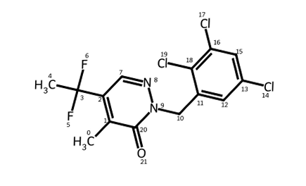 Cc1c(C(C)(F)F)cnn(Cc2cc(Cl)cc(Cl)c2Cl)c1=O